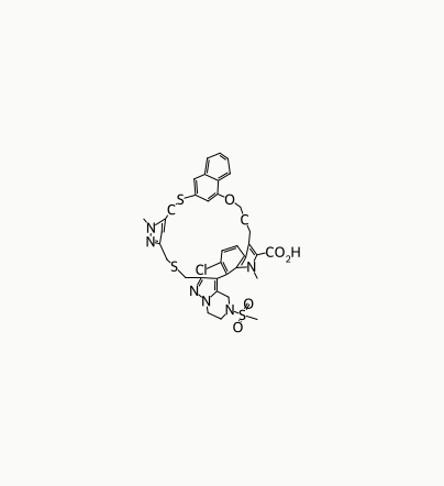 Cn1nc2cc1CSc1cc(c3ccccc3c1)OCCCc1c(C(=O)O)n(C)c3c(c(Cl)ccc13)-c1c(nn3c1CN(S(C)(=O)=O)CC3)CSC2